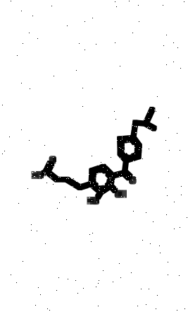 CC(C)Cc1ccc(C(=O)c2ccc(CCCC(=O)O)c(O)c2O)cc1